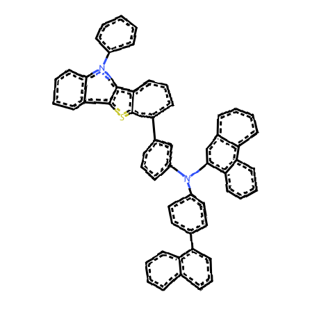 c1ccc(-n2c3ccccc3c3sc4c(-c5cccc(N(c6ccc(-c7cccc8ccccc78)cc6)c6cc7ccccc7c7ccccc67)c5)cccc4c32)cc1